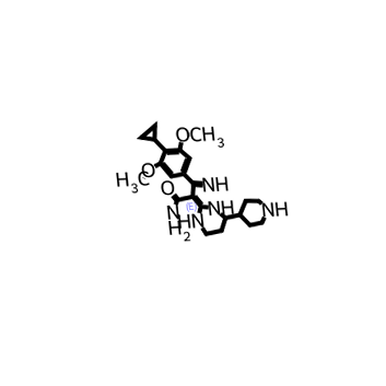 COc1cc(C(=N)/C(C(N)=O)=C2/NCCC(C3CCNCC3)N2)cc(OC)c1C1CC1